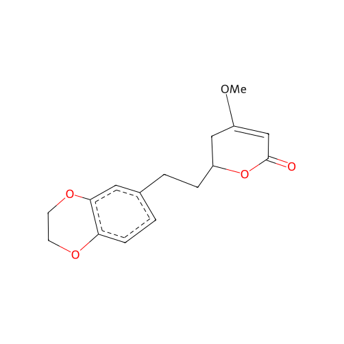 COC1=CC(=O)OC(CCc2ccc3c(c2)OCCO3)C1